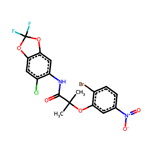 CC(C)(Oc1cc([N+](=O)[O-])ccc1Br)C(=O)Nc1cc2c(cc1Cl)OC(F)(F)O2